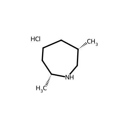 C[C@H]1CCC[C@@H](C)NC1.Cl